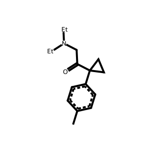 CCN(CC)CC(=O)C1(c2ccc(C)cc2)CC1